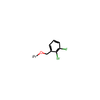 CC(C)OCc1cccc(F)c1Br